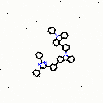 c1ccc(-c2cc(-c3cccc(-c4ccc5c(c4)c4ccccc4n5-c4cccc(-c5cccc6c5c5ccccc5n6-c5ccccc5)c4)c3)nc(-c3ccccc3)n2)cc1